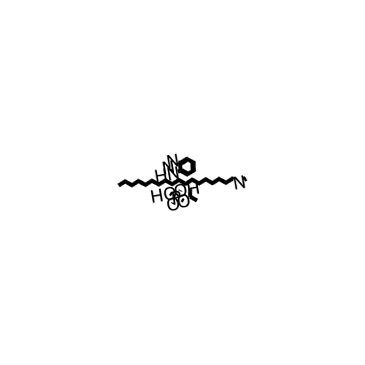 C=NCCCCCCCCCCCCCCCCCC.CC(C)OP(=O)(O)O.c1ccc2[nH]nnc2c1